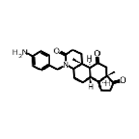 C[C@]12CCC(=O)N(Cc3ccc(N)cc3)C1CC[C@@H]1[C@@H]2C(=O)C[C@]2(C)C(=O)CC[C@@H]12